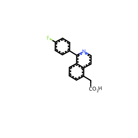 O=C(O)Cc1cccc2c(-c3ccc(F)cc3)nccc12